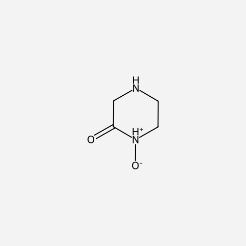 O=C1CNCC[NH+]1[O-]